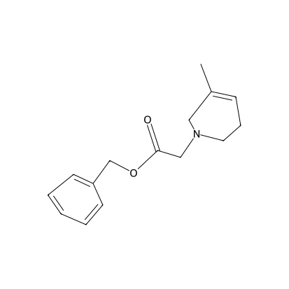 CC1=CCCN(CC(=O)OCc2ccccc2)C1